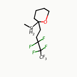 C[SiH2]C1(CCC(F)(F)C(F)(F)C(F)(F)F)CCCCO1